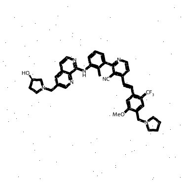 COc1cc(/C=C/c2ccnc(-c3cccc(Nc4nccc5cc(CN6CC[C@@H](O)C6)cnc45)c3C)c2C#N)c(C(F)(F)F)cc1CN1CCCC1